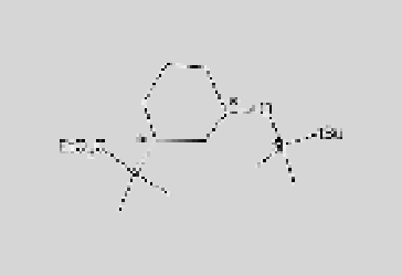 CCOC(=O)C(C)(C)[C@@H]1CCC[C@H](O[Si](C)(C)C(C)(C)C)C1